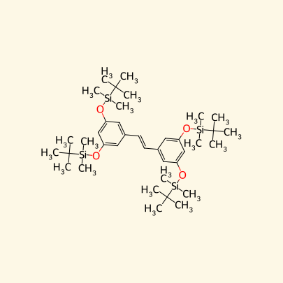 CC(C)(C)[Si](C)(C)Oc1cc(C=Cc2cc(O[Si](C)(C)C(C)(C)C)cc(O[Si](C)(C)C(C)(C)C)c2)cc(O[Si](C)(C)C(C)(C)C)c1